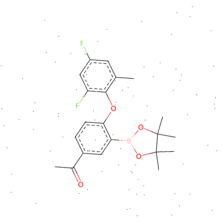 CC(=O)c1ccc(Oc2c(C)cc(F)cc2F)c(B2OC(C)(C)C(C)(C)O2)c1